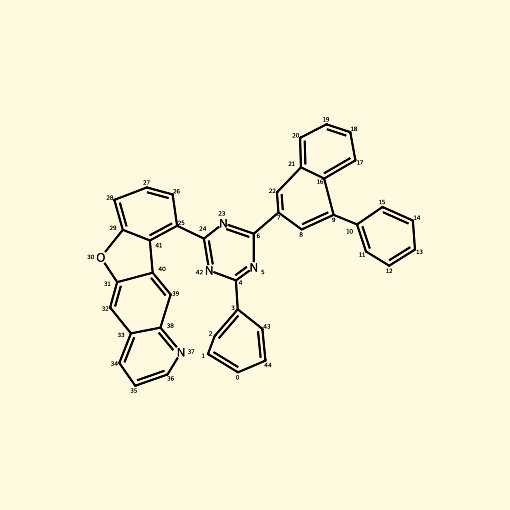 c1ccc(-c2nc(-c3cc(-c4ccccc4)c4ccccc4c3)nc(-c3cccc4oc5cc6cccnc6cc5c34)n2)cc1